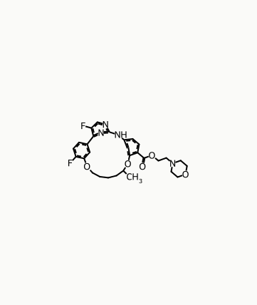 CC1CCCCOc2cc(ccc2F)-c2nc(ncc2F)Nc2ccc(C(=O)OCCN3CCOCC3)c(c2)O1